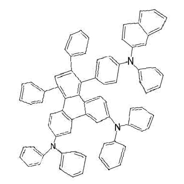 c1ccc(-c2cc(-c3ccccc3)c3c4ccc(N(c5ccccc5)c5ccccc5)cc4c4cc(N(c5ccccc5)c5ccccc5)ccc4c3c2-c2ccc(N(c3ccccc3)c3ccc4ccccc4c3)cc2)cc1